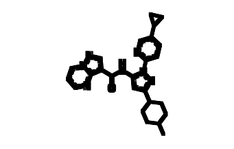 CC1CCC(c2cc(NC(=O)c3cnn4cccnc34)n(-c3ccc(C4CC4)cn3)n2)CC1